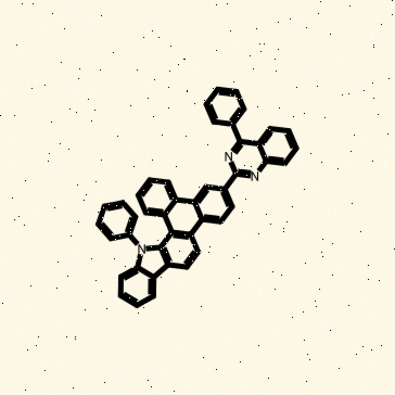 c1ccc(-c2nc(-c3ccc4c(c3)c3ccccc3c3c4ccc4c5ccccc5n(-c5ccccc5)c43)nc3ccccc23)cc1